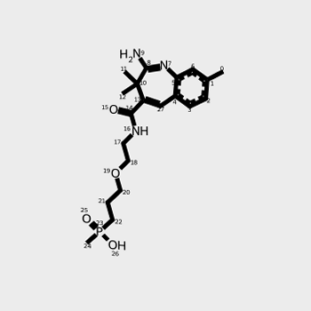 Cc1ccc2c(c1)N=C(N)C(C)(C)C(C(=O)NCCOCCCP(C)(=O)O)=C2